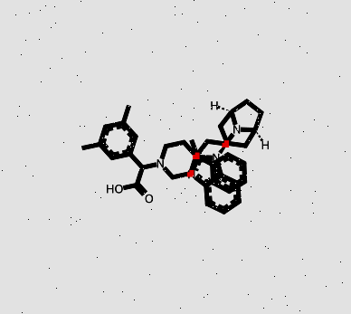 Cc1cc(C)cc(C(C(=O)O)N2CCC(CCN3[C@@H]4CC[C@H]3C[C@@H](n3c(C)nc5ccccc53)C4)(c3ccccc3)CC2)c1